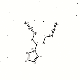 [N-]=[N+]=NCC[C@@H](CN=[N+]=[N-])n1cccc1